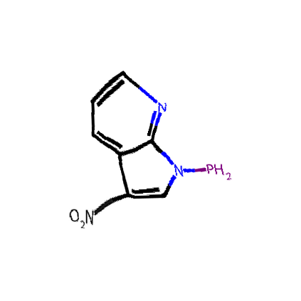 O=[N+]([O-])c1cn(P)c2ncccc12